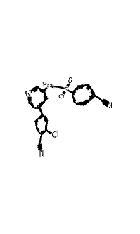 N#Cc1ccc(S(=O)(=O)Nc2cncc(-c3ccc(C#N)c(Cl)c3)c2)cc1